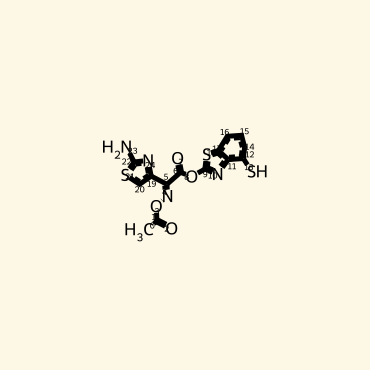 CC(=O)ON=C(C(=O)Oc1nc2c(S)cccc2s1)c1csc(N)n1